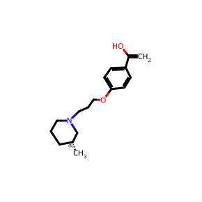 C=C(O)c1ccc(OCCCN2CCC[C@@H](C)C2)cc1